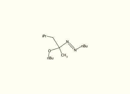 CCCCN=NC(C)(CC(C)C)OCCCC